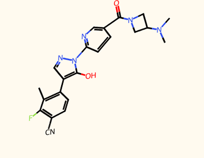 Cc1c(-c2cnn(-c3ccc(C(=O)N4CC(N(C)C)C4)cn3)c2O)ccc(C#N)c1F